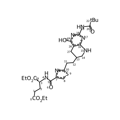 CCOC(=O)CC[C@H](NC(=O)c1csc(CCC2CNc3nc(NC(=O)C(C)(C)C)nc(O)c3C2)n1)C(=O)OCC